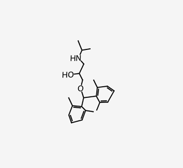 Cc1cccc(C)c1C(OCC(O)CNC(C)C)c1c(C)cccc1C